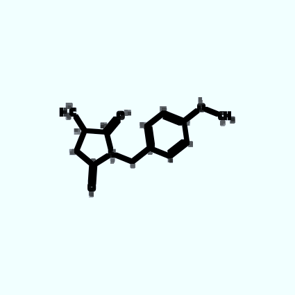 COc1ccc(CN2C(=O)CC(C)C2=O)cc1